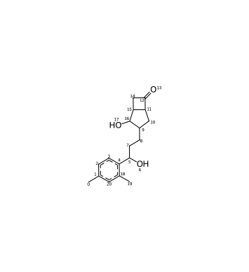 Cc1ccc(C(O)CCC2CC3C(=O)CC3C2O)c(C)c1